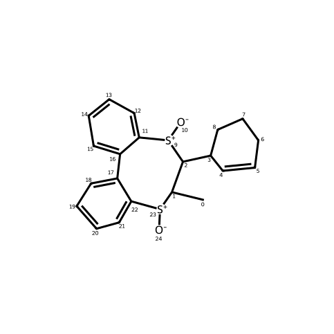 CC1C(C2C=CCCC2)[S+]([O-])c2ccccc2-c2ccccc2[S+]1[O-]